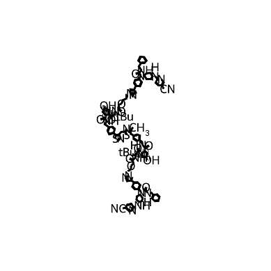 Cc1nc(Cc2ncsc2-c2ccc(CNC(=O)[C@@H]3C[C@@H](O)CN3C(=O)[C@@H](NC(=O)COCCCn3cc(-c4ccc(N(C(=O)NCc5ccccc5)[C@H]5CC[C@H](Nc6ccc(C#N)cn6)CC5)cc4)cn3)C(C)(C)C)cc2)sc1-c1ccc(CNC(=O)[C@@H]2C[C@@H](O)CN2C(=O)[C@@H](NC(=O)COCCn2cc(-c3ccc(N(C(=O)NCc4ccccc4)[C@H]4CC[C@H](Nc5ccc(C#N)cn5)CC4)cc3)cn2)C(C)(C)C)cc1